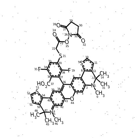 CN1c2cc3c(cc2-c2sccc2C1(C)C)C(c1c(F)c(SCC(=O)ON2C(=O)CCC2=O)cc(F)c1C(=O)O)=c1cc2c(cc1O3)=[N+](C)C(C)(C)c1ccsc1-2